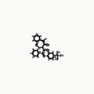 CN1C(=O)[C@@H](N(Oc2cccc(C(F)(F)F)c2)C(=O)c2ccccc2)COc2ccccc21